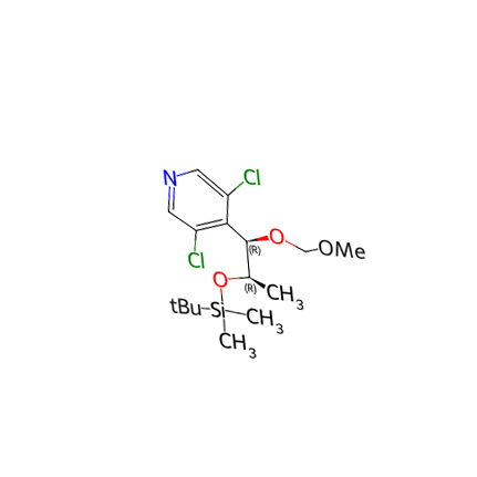 COCO[C@H](c1c(Cl)cncc1Cl)[C@@H](C)O[Si](C)(C)C(C)(C)C